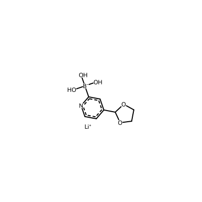 O[B-](O)(O)c1cc(C2OCCO2)ccn1.[Li+]